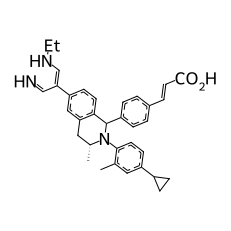 CCN/C=C(\C=N)c1ccc2c(c1)C[C@@H](C)N(c1ccc(C3CC3)cc1C)C2c1ccc(/C=C/C(=O)O)cc1